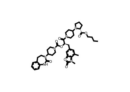 CCCCOC(=O)[C@H]1CCCN1C1CCN(C(=O)[C@@H](Cc2cc(C)c3c(c2)oc(=O)n3C)OC(=O)N2CCC(N3CCc4ccccc4NC3=O)CC2)CC1